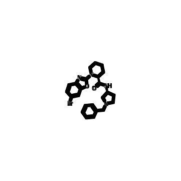 O=C(N[C@H]1CCN(Cc2ccccc2)C1)[C@@H]1CCCCN1c1nc2ccc(Br)cc2o1